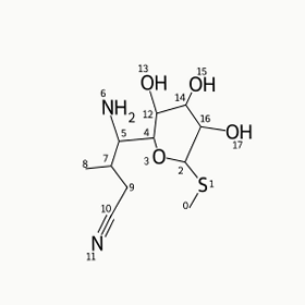 CSC1OC(C(N)C(C)CC#N)C(O)C(O)C1O